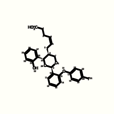 O=C(O)CC/C=C\C[C@@H]1CO[C@H](c2ccccc2Oc2ccc(F)cc2)O[C@@H]1c1ccccc1O